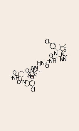 CNC(=O)[C@@]1(C)CCCC[C@H]1C(=O)N1CCc2c(Cl)ccc(OCc3nnn(CCNC(=O)CNC(=O)C[C@@H]4N=C(c5ccc(Cl)cc5)c5c(sc(C)c5C)-n5c(C)nnc54)c3C)c2[C@H]1CN1CC2(CC2)CC1=O